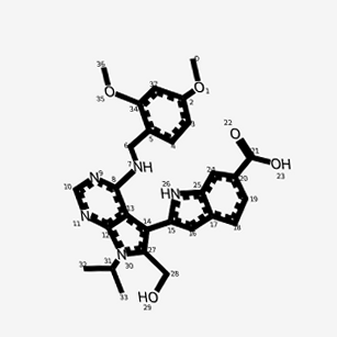 COc1ccc(CNc2ncnc3c2c(-c2cc4ccc(C(=O)O)cc4[nH]2)c(CO)n3C(C)C)c(OC)c1